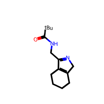 CC(C)(C)C(=O)NCC1=NCC2=C1CCCC2